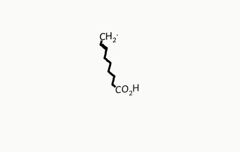 [CH2]C=CCCCCCC(=O)O